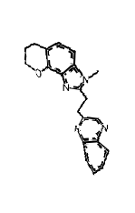 Cn1c(CCc2cnc3ccccc3n2)nc2c3c(ccc21)CCCO3